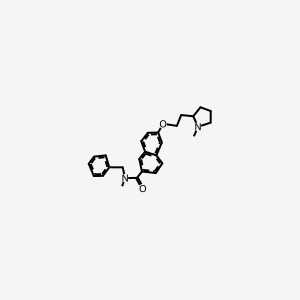 CN(Cc1ccccc1)C(=O)c1ccc2cc(OCCC3CCCN3C)ccc2c1